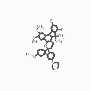 COc1ccc(C2(c3ccc(N4CCOCC4)cc3)C=Cc3c4c(c5cc(OC)c(OC)cc5c3O2)-c2cc(F)cc(F)c2C4(C)C)cc1